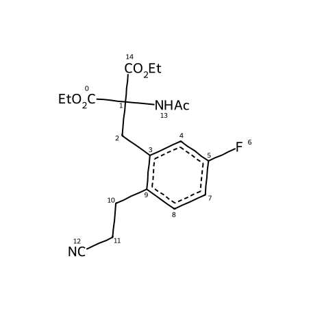 CCOC(=O)C(Cc1cc(F)ccc1CCC#N)(NC(C)=O)C(=O)OCC